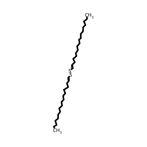 CCCCCCCCCCCCCCCCC=CSSC=CCCCCCCCCCCCCCCCC